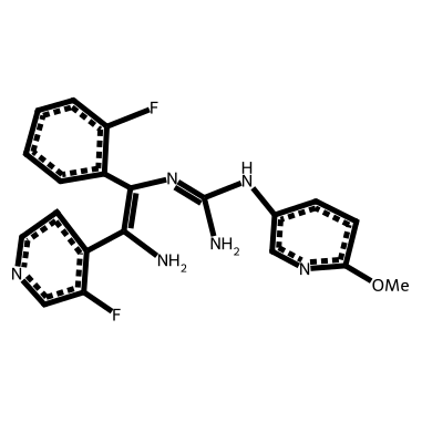 COc1ccc(N/C(N)=N/C(=C(\N)c2ccncc2F)c2ccccc2F)cn1